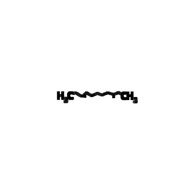 CC[CH]CCCCC[CH]CC